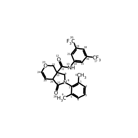 Cc1cccc(C)c1N1CC2(C(=O)Nc3cc(C(F)(F)F)cc(C(F)(F)F)c3)COC=CC2C1=O